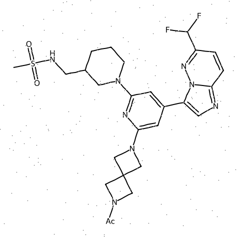 CC(=O)N1CC2(C1)CN(c1cc(-c3cnc4ccc(C(F)F)nn34)cc(N3CCCC(CNS(C)(=O)=O)C3)n1)C2